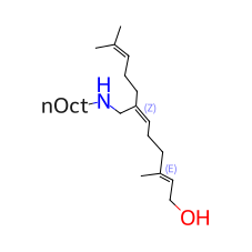 CCCCCCCCNC/C(=C\CC/C(C)=C/CO)CCC=C(C)C